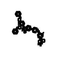 C[C@@H]1CN(C(=O)OC(C)(C)C)CC[C@@H]1CN1CC=C(c2ccc3c(-c4ccc(OCc5ccccc5)nc4OCc4ccccc4)nn(C)c3c2)CC1